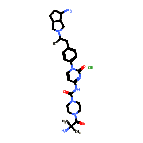 CCC(Cc1ccc(-n2ccc(NC(=O)N3CCN(C(=O)C(C)(C)N)CC3)nc2=O)cc1)N1CC2CCC(N)C2C1.Cl